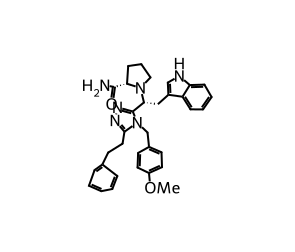 COc1ccc(Cn2c(CCc3ccccc3)nnc2[C@@H](Cc2c[nH]c3ccccc23)N2CCC[C@H]2C(N)=O)cc1